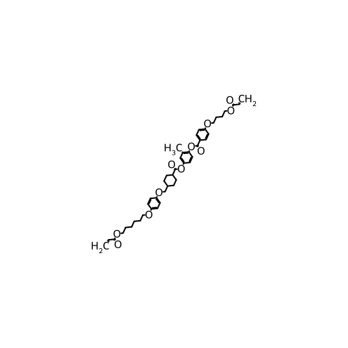 C=CC(=O)OCCCCCCOc1ccc(OCC2CCC(C(=O)Oc3ccc(OC(=O)c4ccc(OCCCCOC(=O)C=C)cc4)c(C)c3)CC2)cc1